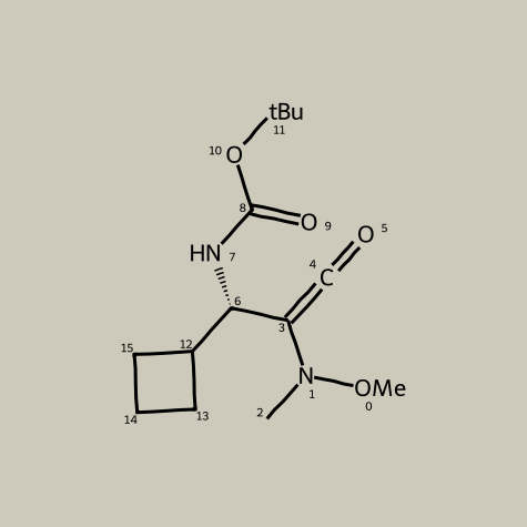 CON(C)C(=C=O)[C@@H](NC(=O)OC(C)(C)C)C1CCC1